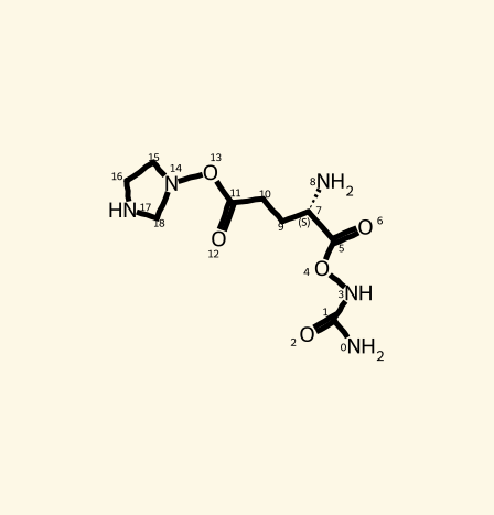 NC(=O)NOC(=O)[C@@H](N)CCC(=O)ON1CCNC1